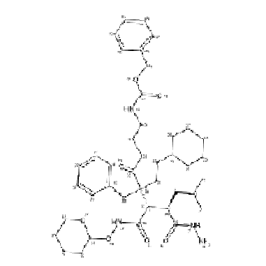 CC(C)C[C@@H](C(=O)NN)[C@H](C(=O)NOC1CCCCO1)C(CCC1CCCCC1)(Cc1ccccc1)C(=O)CCCNC(=O)OCc1ccccc1